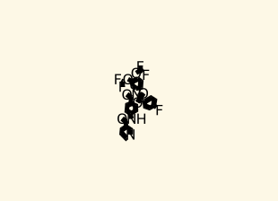 O=C(Nc1ccc(C(=O)N(c2ccc(OC(F)F)c(OC(F)F)c2)S(=O)(=O)c2ccc(F)cc2)cc1)c1cccnc1